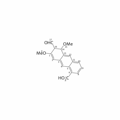 COC1=Cc2cc3c(C(=O)O)cccc3cc2C(OC)C1C=O